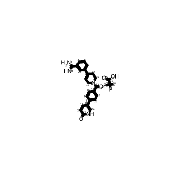 N=C(N)c1cccc(C2=CCN(C(=O)c3ccc(-c4ccc(=O)[nH]c4)cc3)CC2)c1.O=C(O)C(F)(F)F